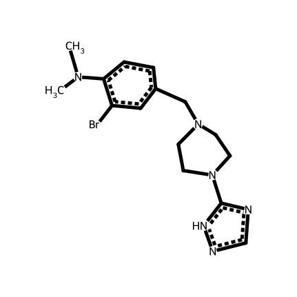 CN(C)c1ccc(CN2CCN(c3ncn[nH]3)CC2)cc1Br